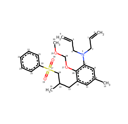 C=CCN(CC=C)c1cc(C)cc(CC(C)CS(=O)(=O)c2ccccc2)c1OCOC